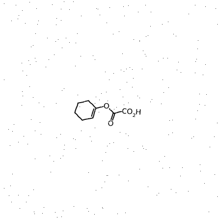 O=C(O)C(=O)OC1=CCCCC1